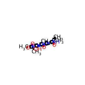 COC1=CC(=O)N(C2CCN(C3=CC(=O)N(C4CCN(C5=CC(=O)N[C@H](CC(C)C)C5)CC4)[C@@H](C)C3)CC2)[C@@H]([C@@H](C)O)C1